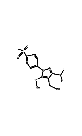 CCC(C)Nc1c(CO)c(C(F)F)nn1-c1ccc(S(C)(=O)=O)nc1